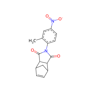 Cc1cc([N+](=O)[O-])ccc1N1C(=O)C2C3C=CC(C3)C2C1=O